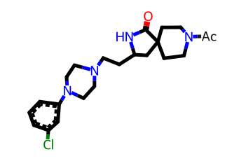 CC(=O)N1CCC2(CC1)CC(CCN1CCN(c3cccc(Cl)c3)CC1)NC2=O